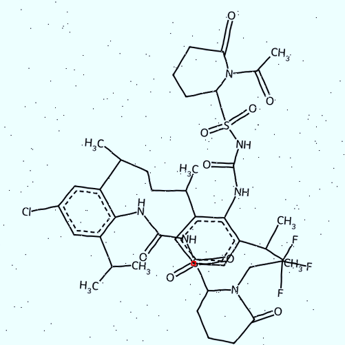 CC(=O)N1C(=O)CCCC1S(=O)(=O)NC(=O)Nc1c(C(C)C)cccc1C(C)CCC(C)c1cc(Cl)cc(C(C)C)c1NC(=O)NS(=O)(=O)C1CCCC(=O)N1CC(F)(F)F